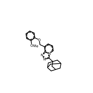 COc1ccccc1OCc1cccn2c(C34CC5CC(CC(C5)C3)C4)nnc12